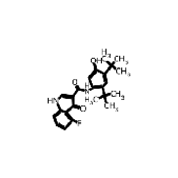 CC(C)(C)c1cc(C(C)(C)C)c(NC(=O)c2c[nH]c3cccc(F)c3c2=O)cc1O